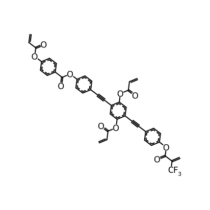 C=CC(=O)Oc1ccc(C(=O)Oc2ccc(C#Cc3cc(OC(=O)C=C)c(C#Cc4ccc(OC(=O)C(=C)C(F)(F)F)cc4)cc3OC(=O)C=C)cc2)cc1